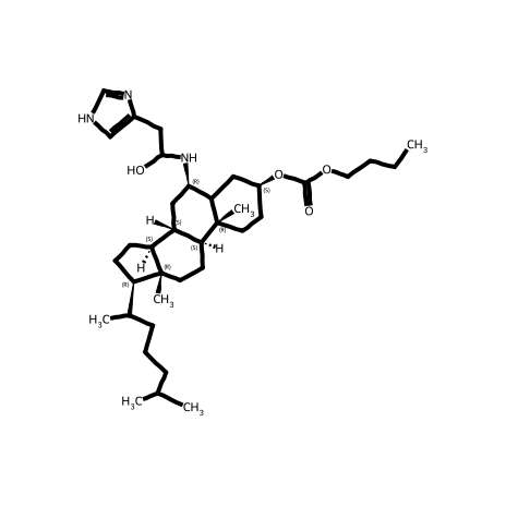 CCCCOC(=O)O[C@H]1CC[C@@]2(C)C(C1)[C@H](NC(O)Cc1c[nH]cn1)C[C@H]1[C@@H]3CC[C@H](C(C)CCCC(C)C)[C@@]3(C)CC[C@@H]12